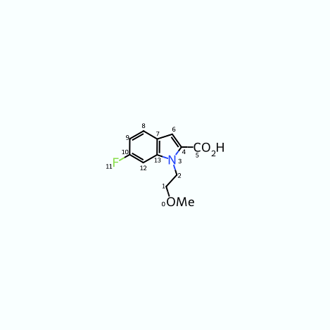 COCCn1c(C(=O)O)cc2ccc(F)cc21